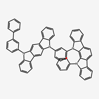 c1ccc(-c2cccc(-n3c4ccccc4c4cc5c(cc43)c3ccccc3n5-c3cccc(-n4c5ccccc5c5ccc6c7ccccc7n(-c7ccccc7)c6c54)c3)c2)cc1